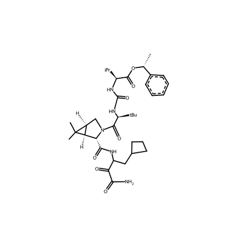 CC(C)[C@H](NC(=O)N[C@H](C(=O)N1C[C@H]2[C@@H]([C@H]1C(=O)NC(CC1CCC1)C(=O)C(N)=O)C2(C)C)C(C)(C)C)C(=O)O[C@H](C)c1ccccc1